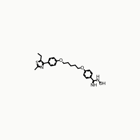 CCc1sc(C)nc1-c1ccc(OCCCCCOc2ccc(C(=N)NO)cc2)cc1